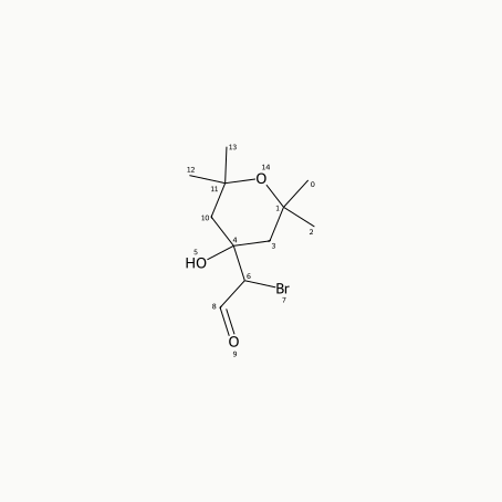 CC1(C)CC(O)(C(Br)C=O)CC(C)(C)O1